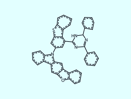 c1ccc(C2=NC(c3ccccc3)NC(c3cc(-n4c5ccccc5c5cc6oc7ccccc7c6cc54)cc4sc5ccccc5c34)=N2)cc1